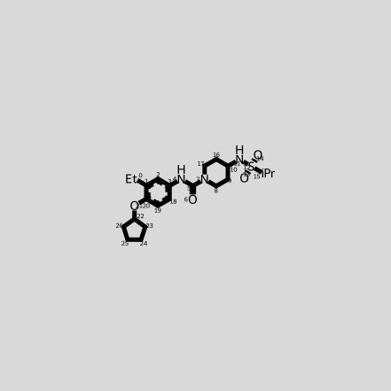 CCc1cc(NC(=O)N2CCC(NS(=O)(=O)C(C)C)CC2)ccc1OC1CCCC1